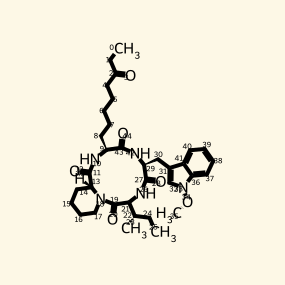 CCC(=O)CCCCC[C@@H]1NC(=O)[C@H]2CCCCN2C(=O)C([C@@H](C)CC)NC(=O)[C@H](Cc2cn(OC)c3ccccc23)NC1=O